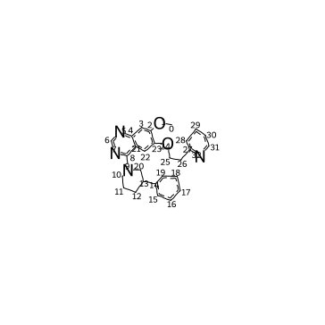 COc1cc2ncnc(N3CCCC(c4ccccc4)C3)c2cc1OCCc1ccccn1